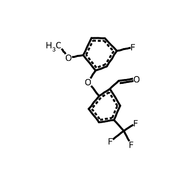 COc1ccc(F)cc1Oc1ccc(C(F)(F)F)cc1C=O